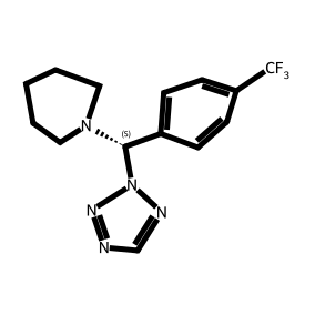 FC(F)(F)c1ccc([C@@H](N2CCCCC2)n2ncnn2)cc1